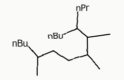 CCCCC(C)CCC(C)C(C)C(CCC)CCCC